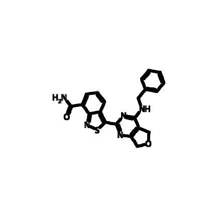 NC(=O)c1cccc2c(-c3nc4c(c(NCc5ccccc5)n3)COC4)snc12